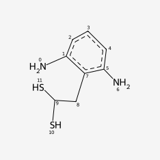 Nc1cccc(N)c1CC(S)S